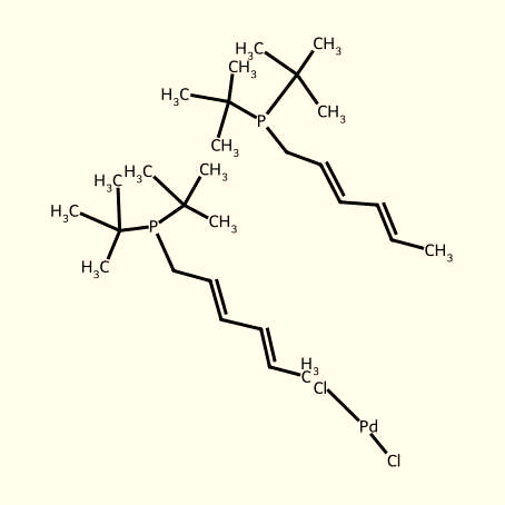 CC=CC=CCP(C(C)(C)C)C(C)(C)C.CC=CC=CCP(C(C)(C)C)C(C)(C)C.[Cl][Pd][Cl]